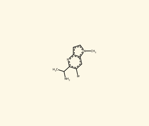 CC(N)c1nc2ccn(C)c2cc1Br